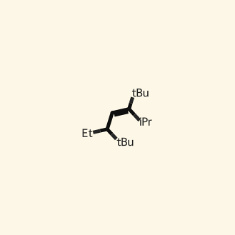 CCC(/C=C(\C(C)C)C(C)(C)C)C(C)(C)C